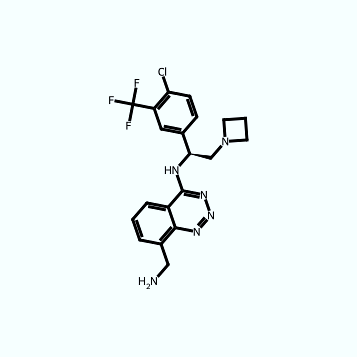 NCc1cccc2c(N[C@H](CN3CCC3)c3ccc(Cl)c(C(F)(F)F)c3)nnnc12